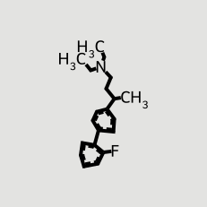 CCN(CC)CCC(C)c1ccc(-c2ccccc2F)cc1